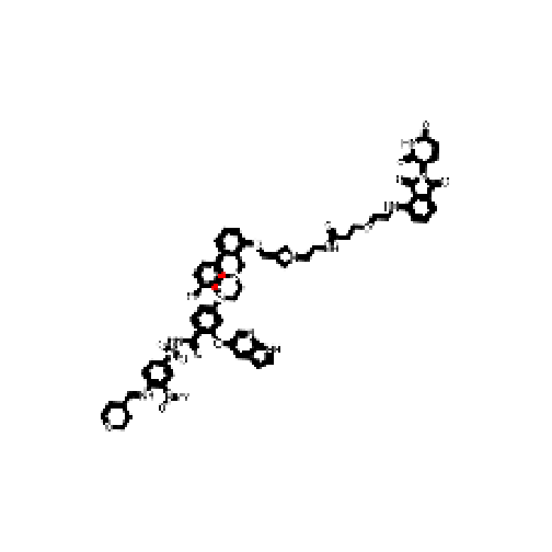 O=C(CCOCCNc1cccc2c1C(=O)N(C1CCC(=O)NC1=O)C2=O)NCCN1CC(COc2cccc(-c3ccc(Cl)cc3)c2CN2CCN(c3ccc(C(=O)NS(=O)(=O)c4ccc(NCC5CCOCC5)c([N+](=O)[O-])c4)c(Oc4cnc5[nH]ccc5c4)c3)CC2)C1